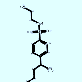 CCCC(N)c1ccc(S(=O)(=O)NCCO)nc1